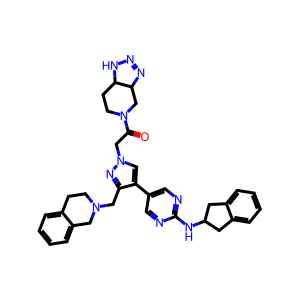 O=C(Cn1cc(-c2cnc(NC3Cc4ccccc4C3)nc2)c(CN2CCc3ccccc3C2)n1)N1CCC2NN=NC2C1